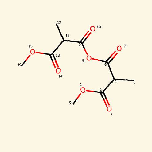 COC(=O)C(C)C(=O)OC(=O)C(C)C(=O)OC